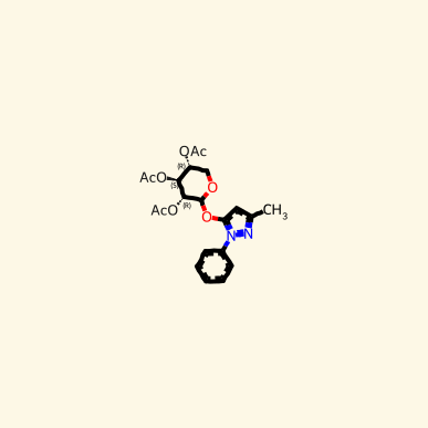 CC(=O)O[C@H]1[C@H](OC(C)=O)COC(Oc2cc(C)nn2-c2ccccc2)[C@@H]1OC(C)=O